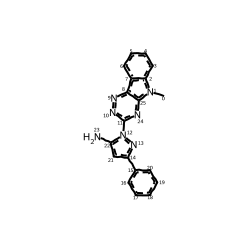 Cn1c2ccccc2c2nnc(-n3nc(-c4ccccc4)cc3N)nc21